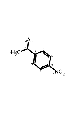 [CH2]C(C(C)=O)c1ccc([N+](=O)[O-])cc1